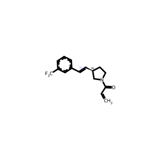 C=CC(=O)N1CC[C@H](/C=C/c2cccc(C(F)(F)F)c2)C1